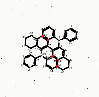 c1ccc(P(c2ccccc2)c2cc3c(cc2-c2ccc4c(c2P(c2ccccc2)c2ccccc2)CCCC4)CCCC3)cc1